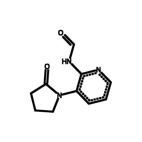 O=CNc1ncccc1N1CCCC1=O